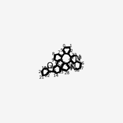 c1ccc2c(c1)-c1cccc(-c3cccc4c3oc3ccccc34)c1-c1ccccc1-c1c-2cnc2cccnc12